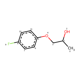 CC(O)[CH]Oc1ccc(F)cc1